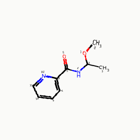 COC(C)NC(=O)c1ccccn1